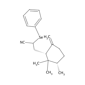 C=C1CC[C@H](C)C(C)(C)[C@@H]1CC(C#N)[Se]c1ccccc1